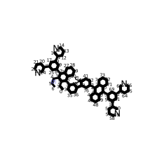 C=Cc1c(/C=C\C)c(-c2cc(-c3cccnc3)cc(-c3cccnc3)c2)c2ccccc2c1-c1cccc2c1sc1ccc(-c3c4ccccc4c(-c4cc(-c5cccnc5)cc(-c5cccnc5)c4)c4ccccc34)cc12